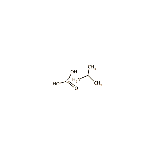 CC(C)N.O=S(O)O